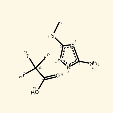 CSc1nnc(N)s1.O=C(O)C(F)(F)F